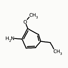 CCc1ccc(N)c(OC)c1